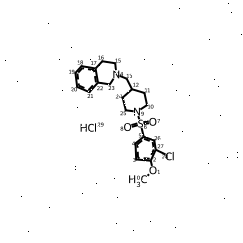 COc1ccc(S(=O)(=O)N2CCC(CN3CCc4ccccc4C3)CC2)cc1Cl.Cl